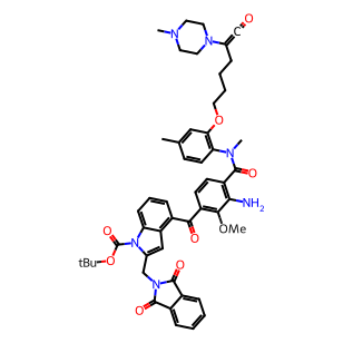 COc1c(C(=O)c2cccc3c2cc(CN2C(=O)c4ccccc4C2=O)n3C(=O)OC(C)(C)C)ccc(C(=O)N(C)c2ccc(C)cc2OCCCCC(=C=O)N2CCN(C)CC2)c1N